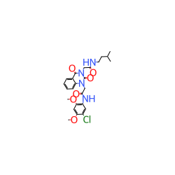 COc1cc(OC)c(NC(=O)Cn2c(=O)n(CC(=O)NCCC(C)C)c(=O)c3ccccc32)cc1Cl